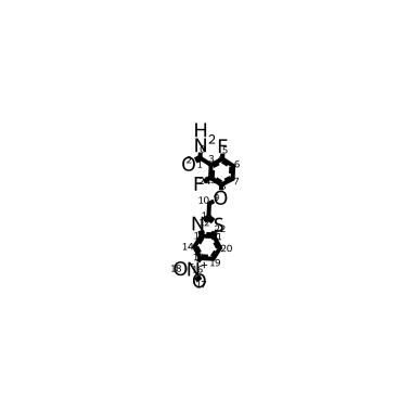 NC(=O)c1c(F)ccc(OCc2nc3cc([N+](=O)[O-])ccc3s2)c1F